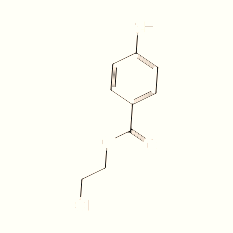 O=C(OCCO)c1ccc(S)cc1